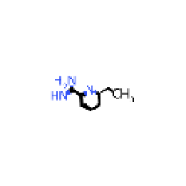 CC[C@H]1CC=CC(C(=N)N)=N1